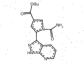 CC(C)COC(=O)c1cc(-c2n[nH]c3ncccc23)n(C(N)=O)c1